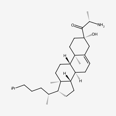 CC(C)CCC[C@@H](C)[C@H]1CC[C@H]2[C@@H]3CC=C4C[C@](O)(C(=O)[C@H](C)N)CC[C@]4(C)[C@H]3CC[C@]12C